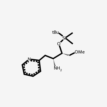 COC[C@@H](O[Si](C)(C)C(C)(C)C)[C@H](N)Cc1ccccn1